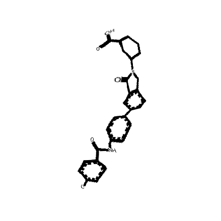 O=C(Nc1ccc(-c2ccc3c(c2)C(=O)N(C2CCCC(C(=O)O)C2)C3)cc1)c1ccc(Cl)cc1